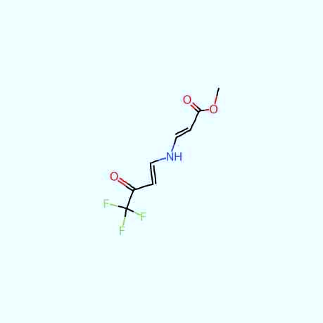 COC(=O)C=CNC=CC(=O)C(F)(F)F